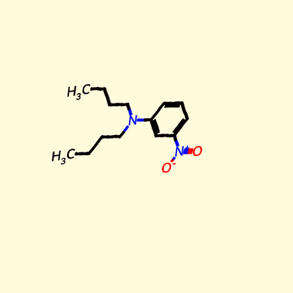 CCCCN(CCCC)c1cccc([N+](=O)[O-])c1